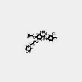 Fc1ccc(Nc2ncnc3cc(OCC4CC4)c(OCCCN4CCOCC4)cc23)cc1Cl